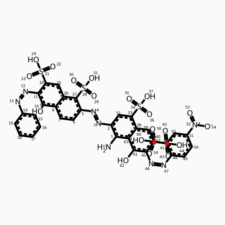 Nc1c(N=Nc2ccc3c(O)c(/N=N\c4ccccc4)c(S(=O)(=O)O)cc3c2S(=O)(=O)O)cc(S(=O)(=O)O)c2cc(S(=O)(=O)O)c(/N=N\c3ccc([N+](=O)[O-])cc3S(=O)(=O)O)c(O)c12